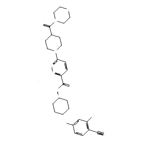 Cl.N#Cc1ccc(O[C@H]2CC[C@H](NC(=O)c3ccc(N4CCC(C(=O)N5CCNCC5)CC4)nn3)CC2)cc1Cl